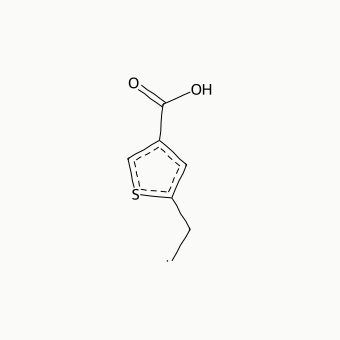 [CH2]Cc1cc(C(=O)O)cs1